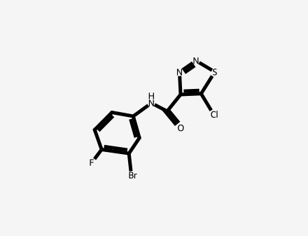 O=C(Nc1ccc(F)c(Br)c1)c1nnsc1Cl